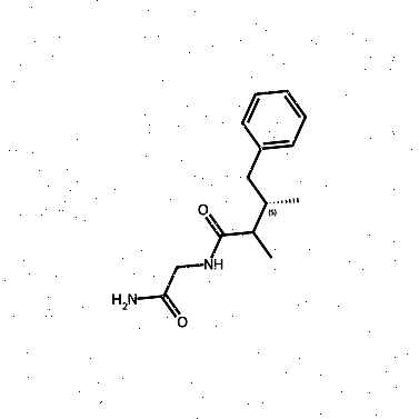 CC(C(=O)NCC(N)=O)[C@@H](C)Cc1ccccc1